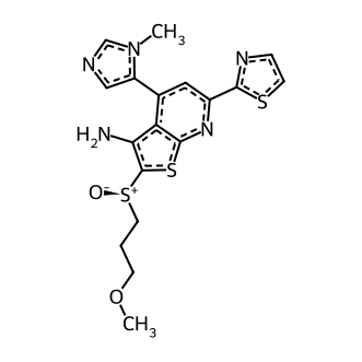 COCCC[S@@+]([O-])c1sc2nc(-c3nccs3)cc(-c3cncn3C)c2c1N